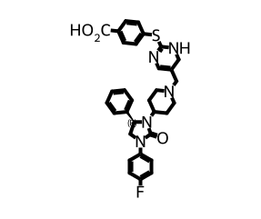 O=C(O)c1ccc(SC2=NC=C(CN3CCC(N4C(=O)N(c5ccc(F)cc5)C[C@H]4c4ccccc4)CC3)CN2)cc1